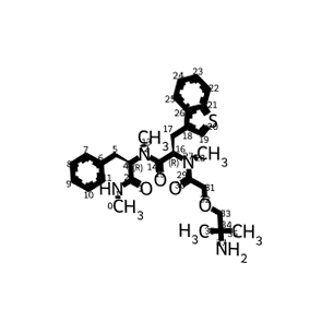 CNC(=O)[C@@H](Cc1ccccc1)N(C)C(=O)[C@@H](Cc1csc2ccccc12)N(C)C(=O)COCC(C)(C)N